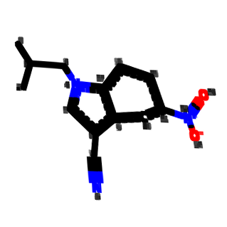 CC(C)Cn1cc(C#N)c2cc([N+](=O)[O-])ccc21